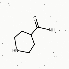 NC(=O)[C]1CCNCC1